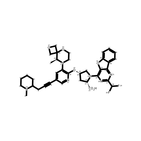 C[C@@H]1N(c2cc(C#CCC3CCCCN3C)cnc2O[C@H]2C[C@@H](C(=O)O)N(c3nc(C(F)F)nc4c3oc3ccccc34)C2)CCOC12COC2